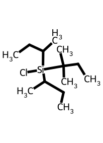 CCC(C)[Si](Cl)(C(C)CC)C(C)(C)CC